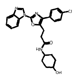 O=C(CCc1oc(-n2cnc3ccccc32)nc1-c1ccc(Cl)cc1)NC1CCC(O)CC1